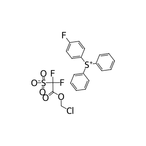 Fc1ccc([S+](c2ccccc2)c2ccccc2)cc1.O=C(OCCl)C(F)(F)S(=O)(=O)[O-]